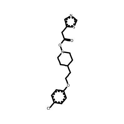 O=C(Cc1cncs1)ON1CCC(CCOc2ccc(Cl)cc2)CC1